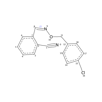 N#Cc1ccccc1/[C]=N\OCc1ccc(Cl)cc1